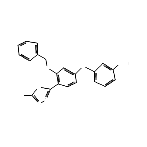 Cc1nnc(-c2ccc(Oc3cccc(C(=O)O)c3)cc2OCc2ccccc2)o1